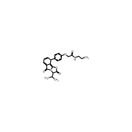 CCCNC(=O)COc1ccc(C2C=CC=C3C(=O)N4C(=C32)OC(=O)C4C(C)C)cc1